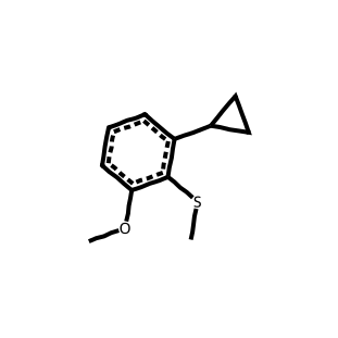 COc1cccc(C2CC2)c1SC